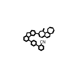 C=C1CC(c2ccc3c(c2)-c2c(cccc2-c2ccc(-c4ccccc4C#N)cc2)C3)=CC=C2C=CC3=C(CC=CC=C3)C12